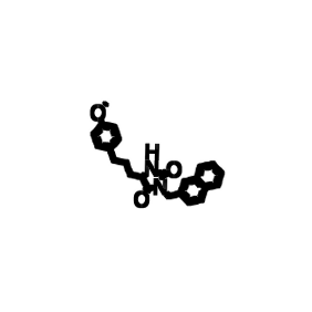 COc1ccc(CCCC2NC(=O)N(Cc3ccc4ccccc4c3)C2=O)cc1